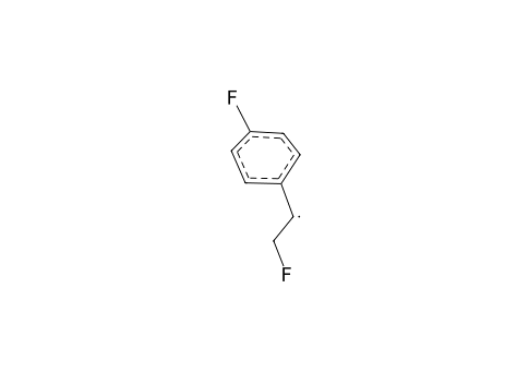 FC[CH]c1ccc(F)cc1